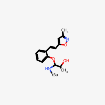 Cc1cc(C=Cc2ccccc2OC(NC(C)(C)C)C(C)O)on1